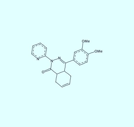 COc1ccc(C2=NN(c3ccccn3)C(=O)C3CC=CCC23)cc1OC